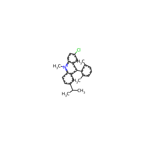 Cc1cccc(C)c1-c1c2cc(Cl)ccc2[n+](C)c2ccc(C(C)C)cc12